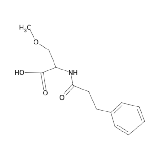 COCC(NC(=O)CCc1ccccc1)C(=O)O